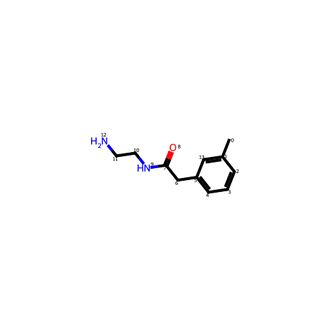 Cc1cccc(CC(=O)NCCN)c1